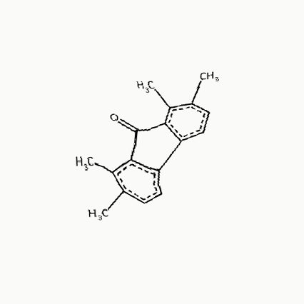 Cc1ccc2c(c1C)C(=O)c1c-2ccc(C)c1C